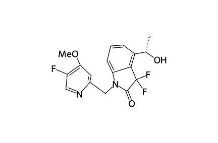 COc1cc(CN2C(=O)C(F)(F)c3c([C@H](C)O)cccc32)ncc1F